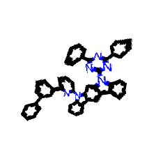 c1ccc(-c2cccc(-c3cccc(-n4c5ccccc5c5cc6c7ccccc7n(-c7nc(-c8ccccc8)nc(-c8ccccc8)n7)c6cc54)n3)c2)cc1